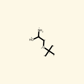 CC(C)(C)OCC(N)O